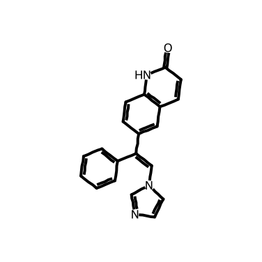 O=c1ccc2cc(C(=Cn3ccnc3)c3ccccc3)ccc2[nH]1